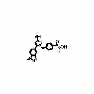 Cn1nnc2cc(-c3cc(C(F)(F)F)nn3Cc3ccc(C(=O)NO)cc3)ccc21